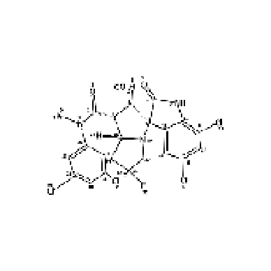 CCCN(C(=O)[C@@H]1C(C(=O)O)[C@@]2(C(=O)Nc3c(Cl)cc(Cl)cc32)N2CC(F)(F)C[C@H]12)c1cc(Cl)cc(Cl)c1